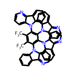 FC(F)(F)c1c(-n2c3ccccc3c3ncccc32)c(-n2c3ccccc3c3ncccc32)c(-n2c3ccccc3c3ncccc32)c(-n2c3ccccc3c3ncccc32)c1C(F)(F)F